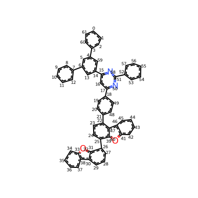 c1ccc(-c2cc(-c3ccccc3)cc(-c3cc(-c4ccc(-c5ccc(-c6cccc7c6oc6ccccc67)c6oc7ccccc7c56)cc4)nc(-c4ccccc4)n3)c2)cc1